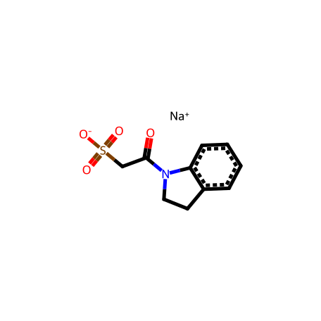 O=C(CS(=O)(=O)[O-])N1CCc2ccccc21.[Na+]